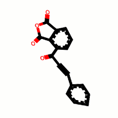 O=C(C#Cc1ccccc1)c1cccc2c1C(=O)OC2=O